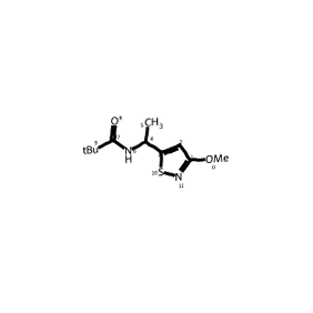 COc1cc(C(C)NC(=O)C(C)(C)C)sn1